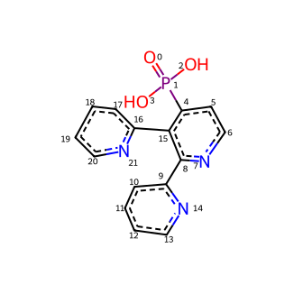 O=P(O)(O)c1ccnc(-c2ccccn2)c1-c1ccccn1